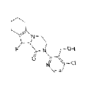 O=C1c2c(F)c3c(n2CCN1c1nccc(Cl)c1CO)CCCC3